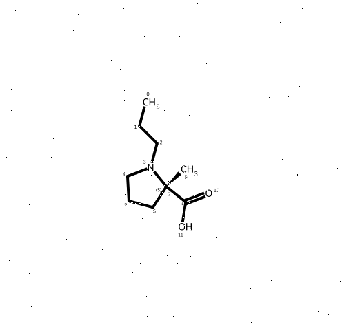 CCCN1CCC[C@@]1(C)C(=O)O